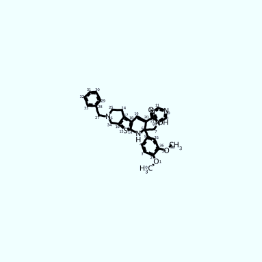 COc1ccc(C2(Cn3cncn3)Nc3sc4c(c3C=C2C(=O)O)CCN(Cc2ccccc2)C4)cc1OC